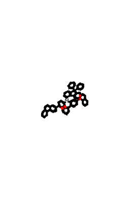 c1ccc(-c2ccc(-c3cccc4ccccc34)cc2N(c2ccc(-c3ccc4c(ccc5ccccc54)c3)cc2)c2cccc3c2-c2ccccc2C3(c2ccccc2)c2ccccc2)cc1